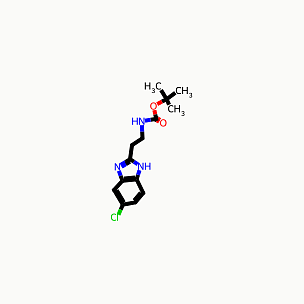 CC(C)(C)OC(=O)NCCc1nc2cc(Cl)ccc2[nH]1